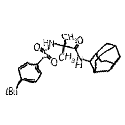 CC(C)(NS(=O)(=O)c1ccc(C(C)(C)C)cc1)C(=O)NC1C2CC3CC(C2)CC1C3